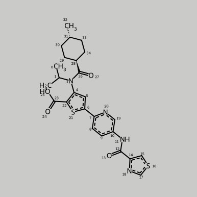 CC(C)N(c1cc(-c2ccc(NC(=O)c3cscn3)cn2)sc1C(=O)O)C(=O)[C@H]1CC[C@H](C)CC1